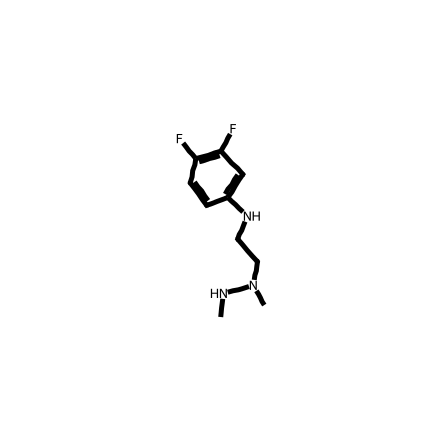 CNN(C)CCNc1ccc(F)c(F)c1